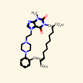 CCCCCCCCC=CCCCCCCCC(=O)O.COc1ccccc1N1CCN(CCn2cnc3c2c(=O)n(C)c(=O)n3C)CC1